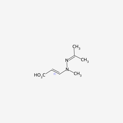 CC(C)=NN(C)/C=C/C(=O)O